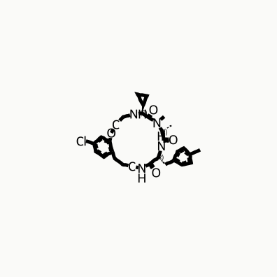 Cc1ccc(C[C@H]2NC(=O)[C@@H](C)N(C)C(=O)[C@H](C3CC3)NCCOc3cc(Cl)ccc3CCCNC2=O)cc1